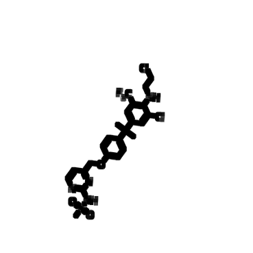 CC(C)(c1ccc(OCc2ccnc(NS(C)(=O)=O)n2)cc1)c1cc(Cl)c(NCCCl)c(C(F)(F)F)c1